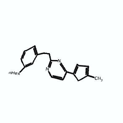 CCCCCCc1cccc(Cc2nccc(C3=CC=C(C)C3)n2)c1